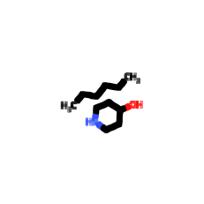 CCCCCC.OC1CCNCC1